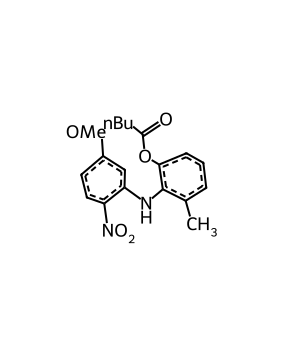 CCCCC(=O)Oc1cccc(C)c1Nc1cc(OC)ccc1[N+](=O)[O-]